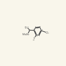 CCC(NC)c1ccc(Cl)cc1F